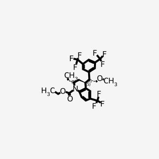 CCOC(=O)N1c2ccc(C(F)(F)F)cc2[C@H]([C@@H](COC)c2cc(C(F)(F)F)cc(C(F)(F)F)c2)C[C@H]1CC